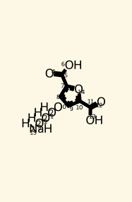 O.O.O.O.O=C(O)c1ccc(C(=O)O)o1.[NaH]